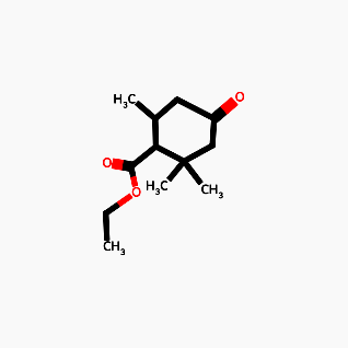 CCOC(=O)C1C(C)CC(=O)CC1(C)C